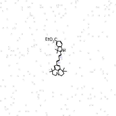 CCOC(=O)c1ccc2c(c1)C(C)(C)C(/C=C/C=C/c1cc3c4c(c1)C(C)(C)CCN4CCC3(C)C)=[N+]2C